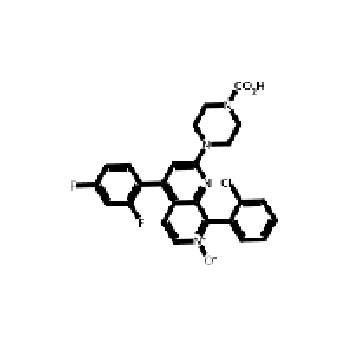 O=C(O)N1CCN(c2cc(-c3ccc(F)cc3F)c3cc[n+]([O-])c(-c4ccccc4Cl)c3n2)CC1